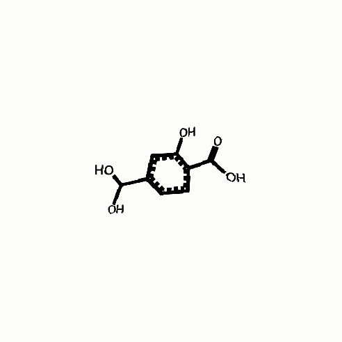 O=C(O)c1ccc(C(O)O)cc1O